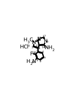 Cl.Cn1cc(-c2cccc(N)c2F)c2c(N)ncnc21